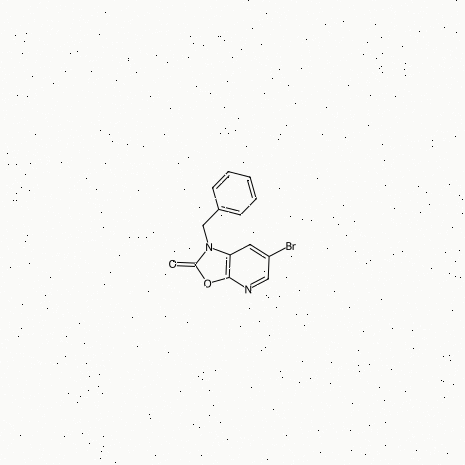 O=c1oc2ncc(Br)cc2n1Cc1ccccc1